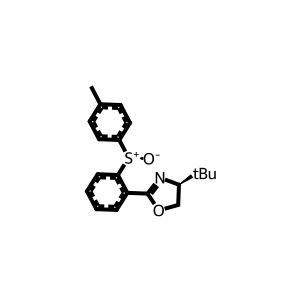 Cc1ccc([S@+]([O-])c2ccccc2C2=N[C@@H](C(C)(C)C)CO2)cc1